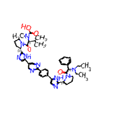 CCN(CC)[C@@H](C(=O)N1CCC[C@H]1c1ncc(-c2ccc(-c3ncc(-c4cnc([C@@H]5CCCN5C(=O)[C@H](C(C)C)N(C)C(=O)O)[nH]4)cn3)cc2)[nH]1)c1ccccc1